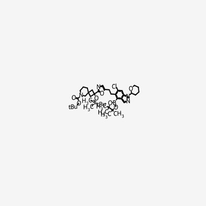 CC(C)(C)OC(=O)N1CCCC2(C1)CC(O[Si](C)(C)C(C)(C)C)(c1ncc(CCc3c(Cl)cc4c(cnn4C4CCCCO4)c3B3OC(C)(C)C(C)(C)O3)o1)C2